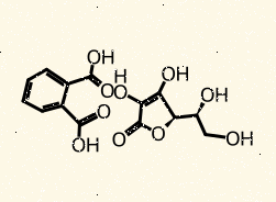 O=C(O)c1ccccc1C(=O)O.O=C1O[C@H]([C@@H](O)CO)C(O)=C1O